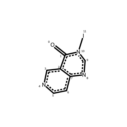 O=c1c2cnccc2ncn1I